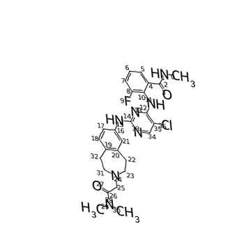 CNC(=O)c1cccc(F)c1Nc1nc(Nc2ccc3c(c2)CCN(CC(=O)N(C)C)CC3)ncc1Cl